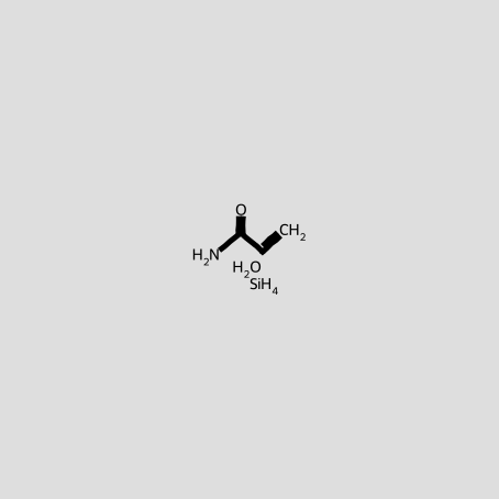 C=CC(N)=O.O.[SiH4]